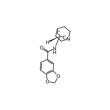 O=C(N[C@@H]1CC2CCN(CC2)C1)c1ccc2c(c1)OCO2